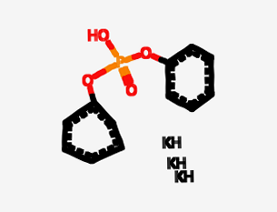 O=P(O)(Oc1ccccc1)Oc1ccccc1.[KH].[KH].[KH]